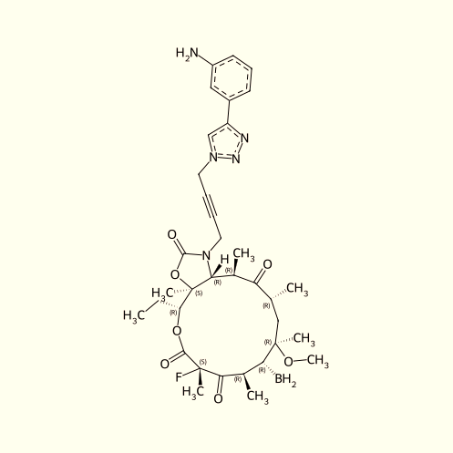 B[C@@H]1[C@@H](C)C(=O)[C@](C)(F)C(=O)O[C@H](CC)[C@@]2(C)OC(=O)N(CC#CCn3cc(-c4cccc(N)c4)nn3)[C@@H]2[C@@H](C)C(=O)[C@H](C)C[C@@]1(C)OC